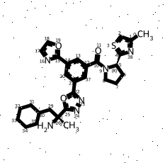 Cc1csc([C@H]2CCCN2C(=O)c2cc(-c3ncco3)cc(-c3nnc([C@](C)(N)CC4CCCCC4)o3)c2)n1